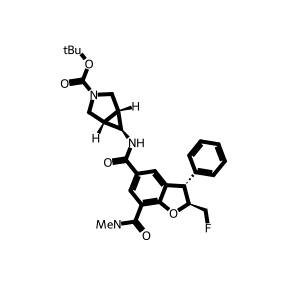 CNC(=O)c1cc(C(=O)N[C@H]2[C@@H]3CN(C(=O)OC(C)(C)C)C[C@@H]32)cc2c1O[C@H](CF)[C@H]2c1ccccc1